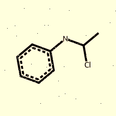 CC(Cl)[N]c1ccccc1